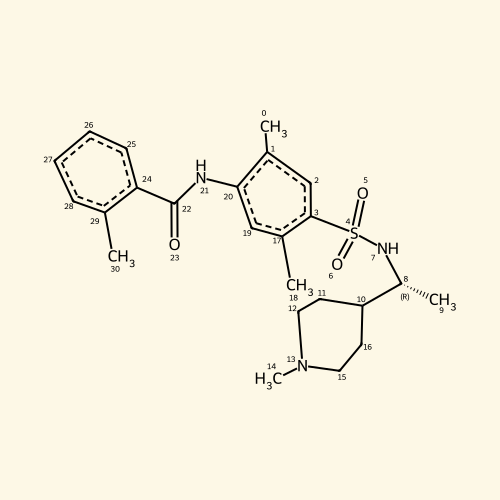 Cc1cc(S(=O)(=O)N[C@H](C)C2CCN(C)CC2)c(C)cc1NC(=O)c1ccccc1C